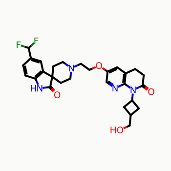 O=C1CCc2cc(OCCN3CCC4(CC3)C(=O)Nc3ccc(C(F)F)cc34)cnc2N1C1CC(CO)C1